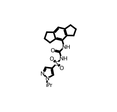 CC(C)n1cc(S(=O)(=O)NC(=O)Nc2c3c(cc4c2CCC4)CCC3)cn1